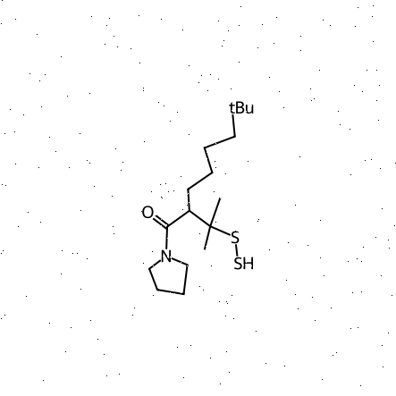 CC(C)(C)CCCCC(C(=O)N1CCCC1)C(C)(C)SS